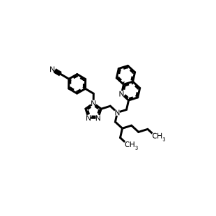 CCCCC(CC)CN(Cc1ccc2ccccc2n1)Cc1nncn1Cc1ccc(C#N)cc1